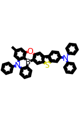 Cc1cc2c3c(c1)N(c1ccccc1)c1ccccc1B3c1cc3sc4cc(N(c5ccccc5)c5ccccc5)ccc4c3cc1O2